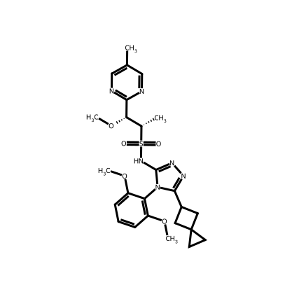 COc1cccc(OC)c1-n1c(NS(=O)(=O)[C@@H](C)[C@H](OC)c2ncc(C)cn2)nnc1C1CC2(CC2)C1